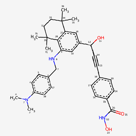 CN(C)c1ccc(CNc2cc(C(O)C#Cc3ccc(C(=O)NO)cc3)cc3c2C(C)(C)CCC3(C)C)cc1